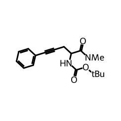 CNC(=O)C(CC#Cc1ccccc1)NC(=O)OC(C)(C)C